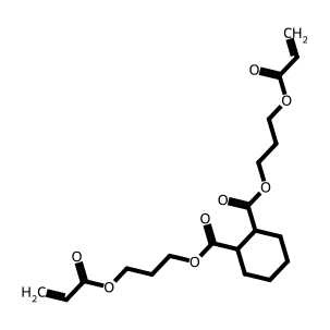 C=CC(=O)OCCCOC(=O)C1CCCCC1C(=O)OCCCOC(=O)C=C